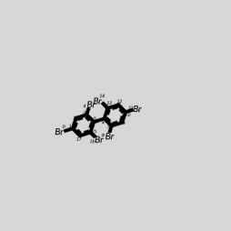 Brc1cc(Br)c(-c2c(Br)cc(Br)cc2Br)c(Br)c1